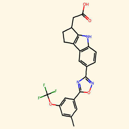 Cc1cc(OC(F)(F)F)cc(-c2nc(-c3ccc4[nH]c5c(c4c3)CCC5CC(=O)O)no2)c1